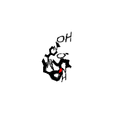 COc1cc(C)[nH]c(=O)c1C[N@+]1(C(C)C2CCN(CCO)CC2)C(C)=Cc2ccccc21